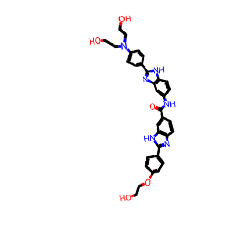 O=C(Nc1ccc2[nH]c(-c3ccc(N(CCO)CCO)cc3)nc2c1)c1ccc2nc(-c3ccc(OCCO)cc3)[nH]c2c1